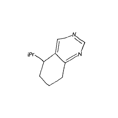 CC(C)C1CCCc2ncncc21